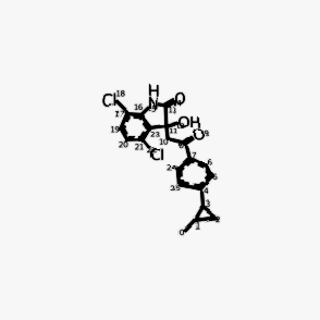 CC1CC1c1ccc(C(=O)CC2(O)C(=O)Nc3c(Cl)ccc(Cl)c32)cc1